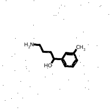 Cc1cccc(C(O)CCCN)c1